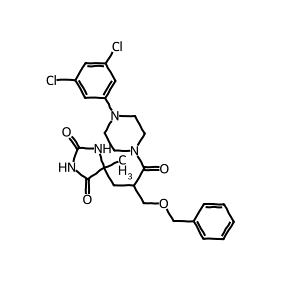 CC1(CC(COCc2ccccc2)C(=O)N2CCN(c3cc(Cl)cc(Cl)c3)CC2)NC(=O)NC1=O